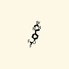 FC(F)Oc1ccc(-c2cnc(Br)cn2)cc1